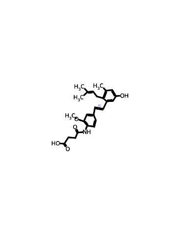 COc1cc(/C=C/c2cc(O)cc(C)c2CC=C(C)C)ccc1NC(=O)CCC(=O)O